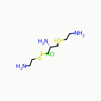 Cl.NCCSSC[C@H](N)C=[SH]CCN